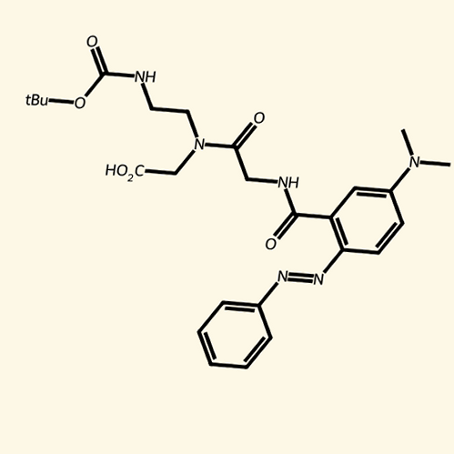 CN(C)c1ccc(N=Nc2ccccc2)c(C(=O)NCC(=O)N(CCNC(=O)OC(C)(C)C)CC(=O)O)c1